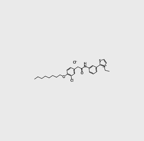 CCCCCCCCOc1ccc(CC(=O)Nc2cccc(-c3scc[n+]3CC)c2)cc1Cl.[Cl-]